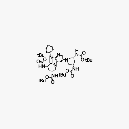 CC(C)(C)OC(=O)NC1CC(NC(=O)OC(C)(C)C)CN(c2cnc(Nc3ccccc3)c(N3CC(NC(=O)OC(C)(C)C)CC(NC(=O)OC(C)(C)C)C3)c2)C1